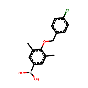 Cc1cc(B(O)O)cc(C)c1OCc1ccc(Cl)cc1